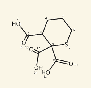 O=C(O)C1CCCSC1(C(=O)O)C(=O)O